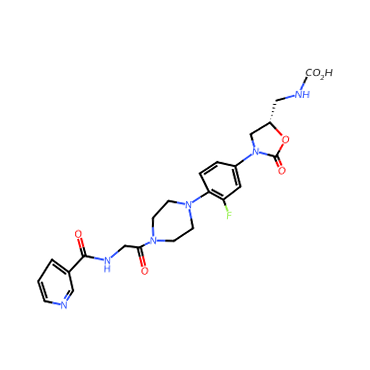 O=C(O)NC[C@H]1CN(c2ccc(N3CCN(C(=O)CNC(=O)c4cccnc4)CC3)c(F)c2)C(=O)O1